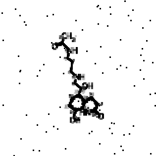 [CH2]C(=O)NCCCNC[C@H](O)c1ccc(O)c2[nH]c(=O)ccc12